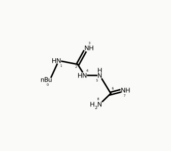 CCCCNC(=N)NNC(=N)N